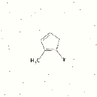 CC1=[C]([Ir])CC=C1